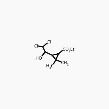 CCOC(=O)C1C(C(O)C(Cl)Cl)C1(C)C